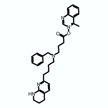 Cc1c2ccccc2nc[n+]1OC(=O)CCCN(CCCCc1ccc2c(n1)NCCC2)Cc1ccccc1